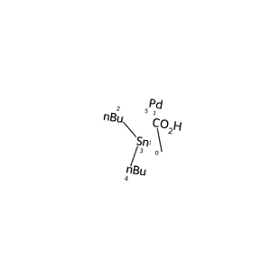 CC(=O)O.CCC[CH2][Sn][CH2]CCC.[Pd]